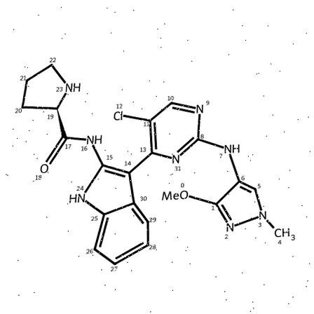 COc1nn(C)cc1Nc1ncc(Cl)c(-c2c(NC(=O)[C@H]3CCCN3)[nH]c3ccccc23)n1